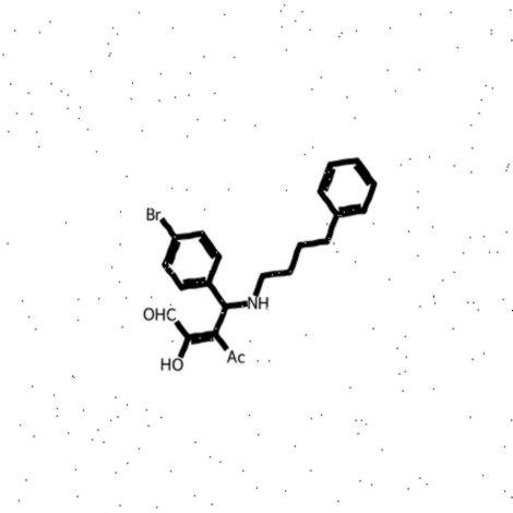 CC(=O)/C(=C(\O)C=O)C(NCCCCc1ccccc1)c1ccc(Br)cc1